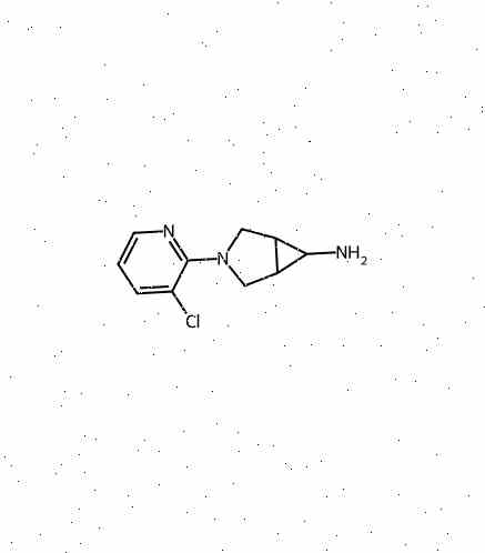 NC1C2CN(c3ncccc3Cl)CC12